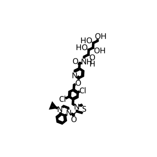 O=C(NC[C@H](O)[C@@H](O)[C@H](O)[C@H](O)CO)c1ccc(OCc2cc(Cl)c(CN3CSC[C@H]3C(=O)N3CCN(C4CC4)c4ccccc43)cc2Cl)nc1